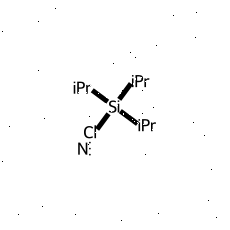 CC(C)[Si](Cl)(C(C)C)C(C)C.[N]